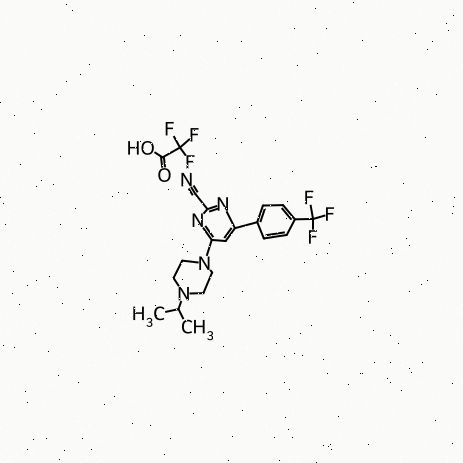 CC(C)N1CCN(c2cc(-c3ccc(C(F)(F)F)cc3)nc(C#N)n2)CC1.O=C(O)C(F)(F)F